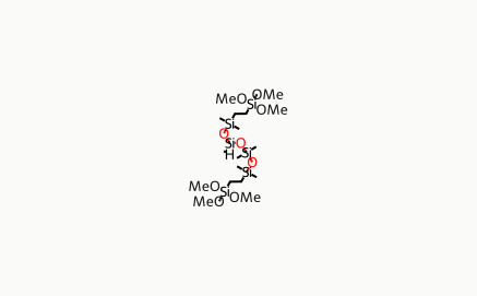 CO[Si](CC[Si](C)(C)O[SiH](C)O[Si](C)(C)O[Si](C)(C)CC[Si](OC)(OC)OC)(OC)OC